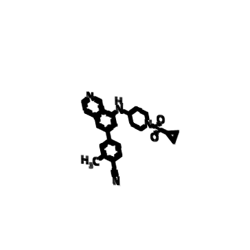 Cc1cc(-c2cc(NC3CCN(S(=O)(=O)C4CC4)CC3)c3cnccc3c2)ccc1C#N